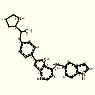 OC(Cc1ccc(-c2cc3nccc(Nc4ccc5[nH]ccc5c4)c3s2)cc1)C1CCCN1